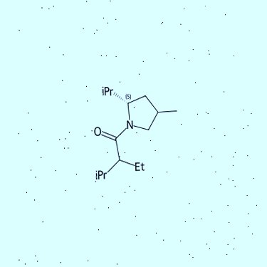 CCC(C(=O)N1CC(C)C[C@H]1C(C)C)C(C)C